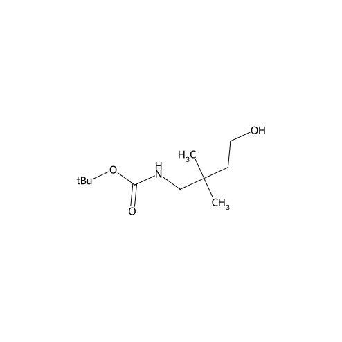 CC(C)(CCO)CNC(=O)OC(C)(C)C